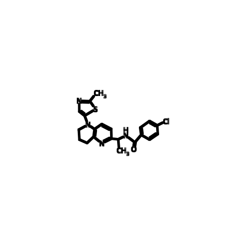 Cc1ncc(N2CCCc3nc(C(C)NC(=O)c4ccc(Cl)cc4)ccc32)s1